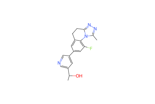 Cc1nnc2n1-c1c(F)cc(-c3cncc(C(C)O)c3)cc1CC2